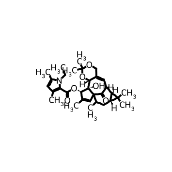 CCn1c(C)cc(C)c1C(=O)O[C@H]1C(C)=CC23C(=O)[C@@H](C=C4COC(C)(C)O[C@H]4[C@]12O)[C@H]1[C@@H](CC3C)C1(C)C